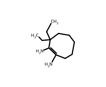 CCC1(CC)CCCCC/C(N)=C\1N